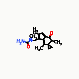 CC1=C(CN(C)C(N)=O)C2=C(C)C3(CC3)C(C)C(=O)C2=C1